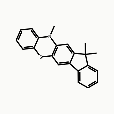 CN1c2ccccc2Sc2cc3c(cc21)C(C)(C)c1ccccc1-3